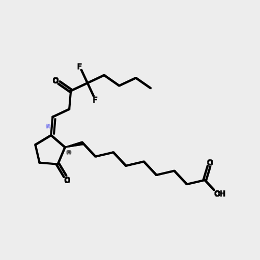 CCCCC(F)(F)C(=O)C/C=C1/CCC(=O)[C@@H]1CCCCCCCCC(=O)O